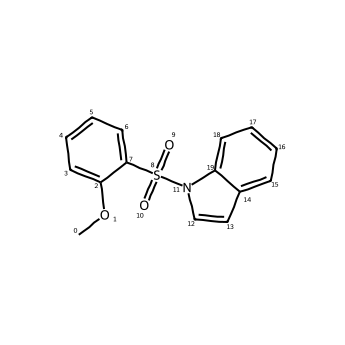 COc1ccccc1S(=O)(=O)n1ccc2ccccc21